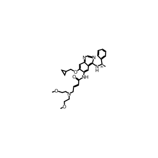 COCCN(CC=CC(=O)Nc1cc2c(N[C@H](C)c3ccccc3)ncnc2cc1OCC1CC1)CCOC